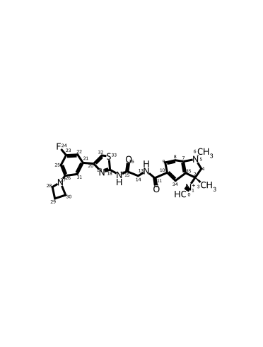 C#[N+][C@@]1(C)CN(C)c2ccc(C(=O)NCC(=O)Nc3nc(-c4cc(F)cc(N5CCC5)c4)cs3)cc21